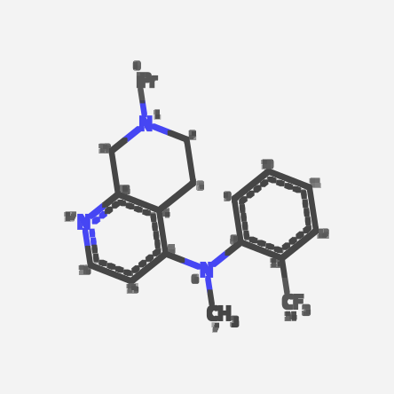 CC(C)N1CCc2c(N(C)c3ccccc3C(F)(F)F)ccnc2C1